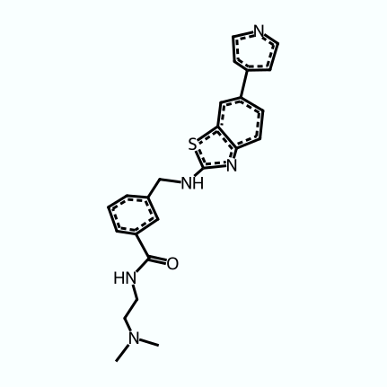 CN(C)CCNC(=O)c1cccc(CNc2nc3ccc(-c4ccncc4)cc3s2)c1